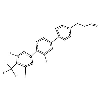 C=CCCc1ccc(-c2ccc(-c3cc(F)c(C(F)(F)F)c(F)c3)c(F)c2)cc1